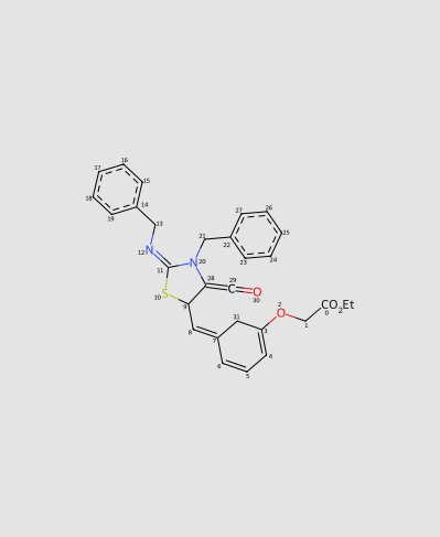 CCOC(=O)COC1=CC=CC(=CC2SC(=NCc3ccccc3)N(Cc3ccccc3)C2=C=O)C1